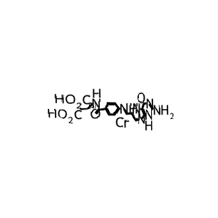 Nc1nc(=O)c2nc(CNc3ccc(C(=O)N[C@@H](CCC(=O)O)C(=O)O)cc3)cnc2[nH]1.[Cr]